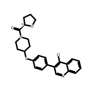 O=C([C@H]1CCCO1)N1CCC(Sc2ccc(-c3cnc4ccccc4c3Cl)cc2)CC1